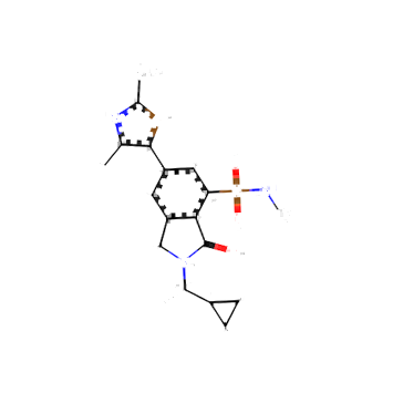 CC(=O)Nc1nc(C)c(-c2cc3c(c(S(=O)(=O)NC(C)C)c2)C(=O)N([C@@H](C)C2CC2)C3)s1